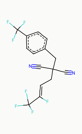 N#CC(C#N)(CC=C(F)C(F)(F)F)Cc1ccc(C(F)(F)F)cc1